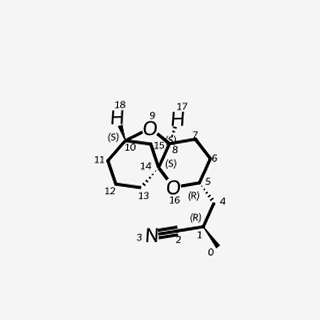 C[C@@H](C#N)C[C@H]1CC[C@@H]2O[C@H]3CCC[C@@]2(C3)O1